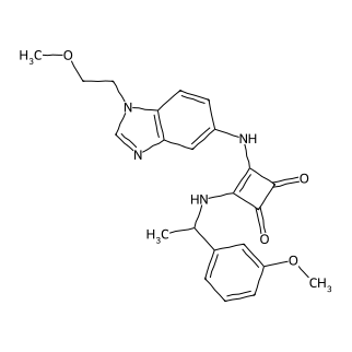 COCCn1cnc2cc(Nc3c(NC(C)c4cccc(OC)c4)c(=O)c3=O)ccc21